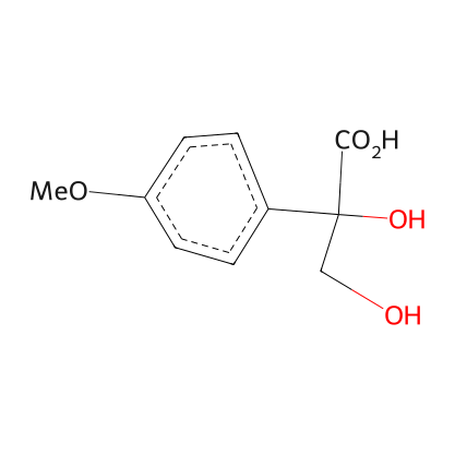 COc1ccc(C(O)(CO)C(=O)O)cc1